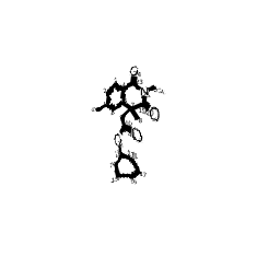 Cc1ccc2c(c1)C(C)(CC(=O)OC1CCCCC1)C(=O)N(C)C2=O